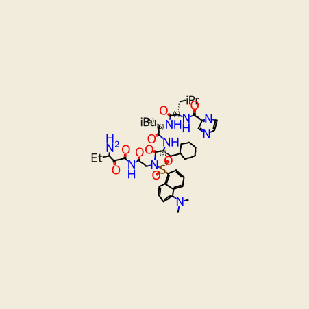 CCC(N)C(=O)C(=O)NC(=O)CN(C(=O)[C@H](CC1CCCCC1)NC(=O)[C@@H](NC(=O)[C@H](CC(C)C)NC(=O)c1cnccn1)[C@@H](C)CC)S(=O)(=O)c1cccc2c(N(C)C)cccc12